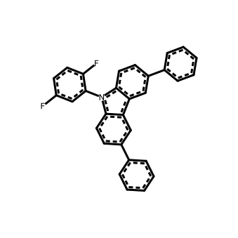 Fc1ccc(F)c(-n2c3ccc(-c4ccccc4)cc3c3cc(-c4ccccc4)ccc32)c1